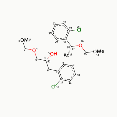 COCOC[C@H](O)Cc1ccccc1Cl.COCO[C@H](C(C)=O)c1ccccc1Cl